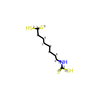 S=C(S)CCCCCCCNC(=S)S